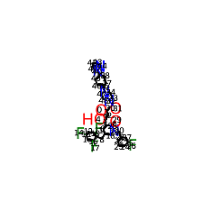 O=C(C=C(O)c1cc(Cc2c(F)cc(F)cc2F)cn(Cc2cccc(F)c2)c1=O)C(=O)N1CCN(c2ccc(-n3cccn3)cc2)CC1